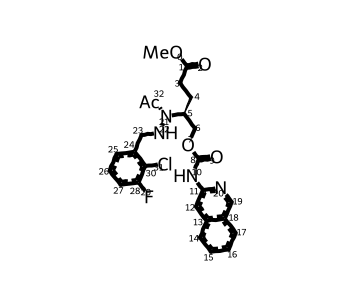 COC(=O)CC[C@@H](COC(=O)Nc1cc2ccccc2cn1)N(NCc1cccc(F)c1Cl)C(C)=O